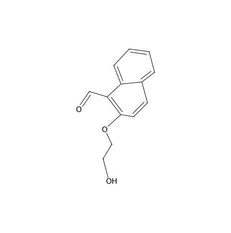 O=Cc1c(OCCO)ccc2ccccc12